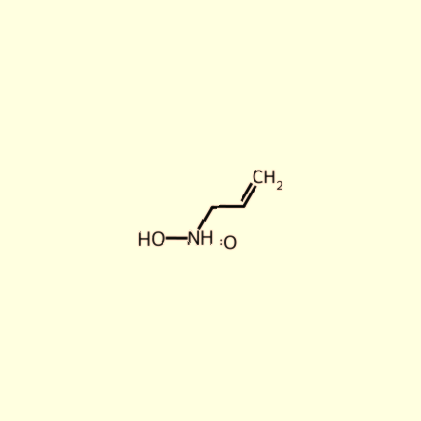 C=CCNO.[O]